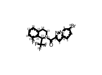 O=C(c1cc2ccc(Br)cn2n1)N1CCc2cccc(F)c2C1C(F)(F)F